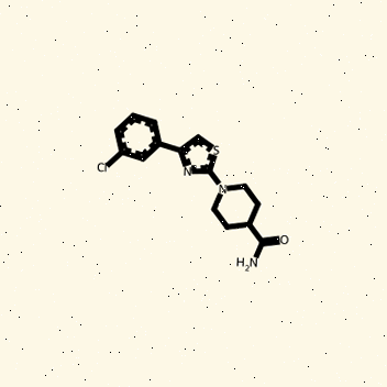 NC(=O)C1CCN(c2nc(-c3cccc(Cl)c3)cs2)CC1